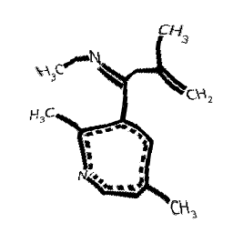 C=C(C)/C(=N/C)c1cc(C)cnc1C